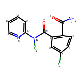 NC(=O)c1ccc(Cl)cc1C(=O)N(Cl)c1ccccn1